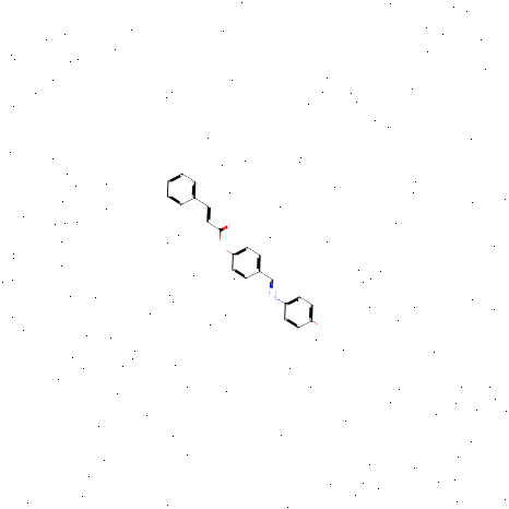 O=C(/C=C/c1ccccc1)Oc1ccc(/C=N/c2ccc(O)cc2)cc1